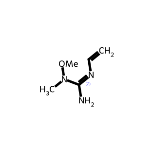 C=C/N=C(/N)N(C)OC